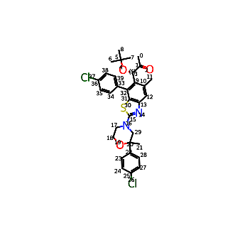 CC(=O)[C@@H](OC(C)(C)C)c1c(C)cc2nc(N3CCOC(C)(c4ccc(Cl)cc4)C3)sc2c1-c1ccc(Cl)cc1